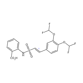 O=C(O)c1ccccc1NS(=O)(=O)/C=C/c1ccc(OC(F)F)c(OC(F)F)c1